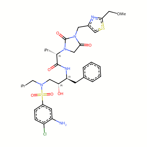 COCc1nc(CN2C(=O)CN([C@H](C(=O)N[C@@H](Cc3ccccc3)[C@H](O)CN(CC(C)C)S(=O)(=O)c3ccc(Cl)c(N)c3)C(C)C)C2=O)cs1